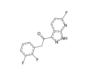 O=C(Cc1cccc(F)c1F)c1n[nH]c2nc(F)ccc12